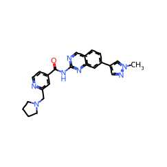 Cn1cc(-c2ccc3cnc(NC(=O)c4ccnc(CN5CCCC5)c4)nc3c2)cn1